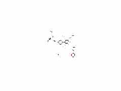 CCCNc1nc(SCc2csc(-c3ccc(Cl)cc3)n2)c(C#N)c(-c2ccc(OCCN(C(=O)CCN)[C@@H](C)C(=O)O)cc2)c1C#N.O=C(O)C(F)(F)F